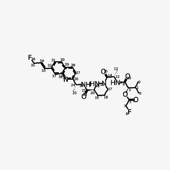 CC(C)[C@H](OC(=O)CF)C(=O)N[C@@H](C)C(=O)N1CCC[C@@H](C(=O)N[C@H](C)c2ccc3ccc(/C=C/CF)cc3n2)N1